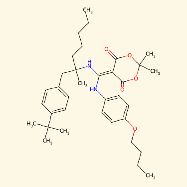 CCCCCC(C)(Cc1ccc(C(C)(C)C)cc1)NC(Nc1ccc(OCCCC)cc1)=C1C(=O)OC(C)(C)OC1=O